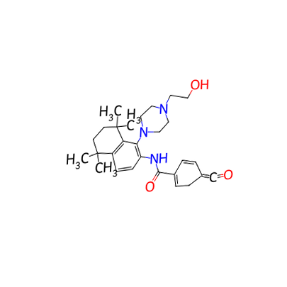 CC1(C)CCC(C)(C)c2c1ccc(NC(=O)C1=CCC(=C=O)C=C1)c2N1CCN(CCO)CC1